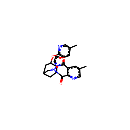 Cc1ccc(OC2CC3CCC2N(C(=O)c2ncc(C)cc2-c2ncco2)C3)nc1